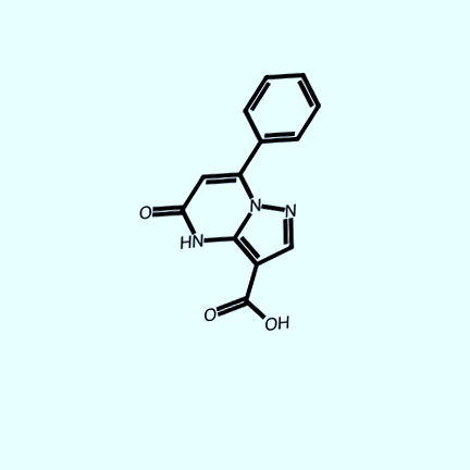 O=C(O)c1cnn2c(-c3ccccc3)cc(=O)[nH]c12